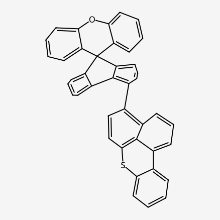 c1ccc2c(c1)Oc1ccccc1C21c2ccccc2-c2c(-c3ccc4c5c(cccc35)-c3ccccc3S4)cccc21